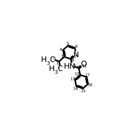 CC(C)c1cccnc1NC(=O)c1ccccc1